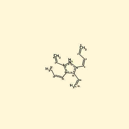 C=C/C=C\c1[nH]c(C=C)c(/C=C\C)c1C=C